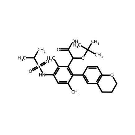 Cc1cc(NS(=O)(=O)C(C)C)c(C)c(C(OC(C)(C)C)C(=O)O)c1-c1ccc2c(c1)CCCO2